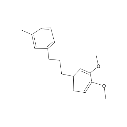 COC1=CCC(CCCc2cccc(C)c2)C=C1OC